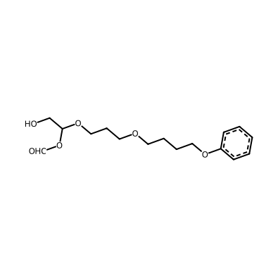 O=COC(CO)OCCCOCCCCOc1ccccc1